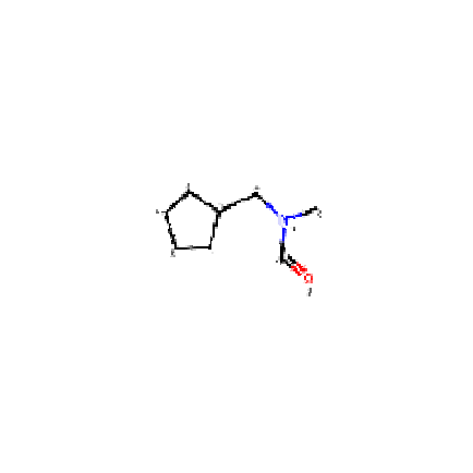 CN([C]=O)CC1CCCC1